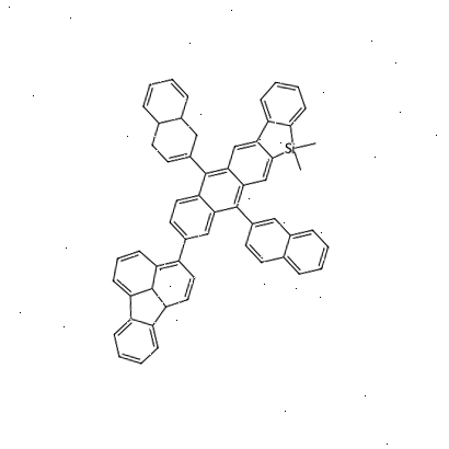 C[Si]1(C)c2ccccc2-c2cc3c(C4=CCC5C=CC=CC5C4)c4ccc(C5=C6C=CC=C7c8ccccc8C(C=C5)C76)cc4c(-c4ccc5ccccc5c4)c3cc21